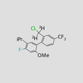 [2H]C([2H])(Cl)c1cc(C(F)(F)F)ccc1-c1cc(C(C)C)c(F)cc1OC